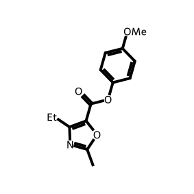 CCc1nc(C)oc1C(=O)Oc1ccc(OC)cc1